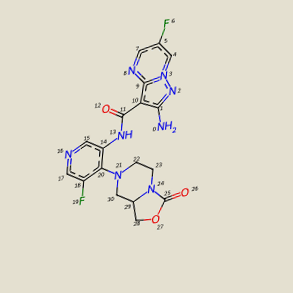 Nc1nn2cc(F)cnc2c1C(=O)Nc1cncc(F)c1N1CCN2C(=O)OCC2C1